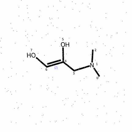 CN(C)C/C(O)=C/O